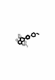 CC[C@H]1CC[C@H](c2ccc(C3=CC(N)=C4C(=O)C=CC(N)=C4C3=O)cc2)CC1